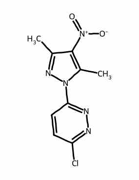 Cc1nn(-c2ccc(Cl)nn2)c(C)c1[N+](=O)[O-]